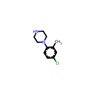 Cc1cc(Cl)ccc1N1CCNCC1